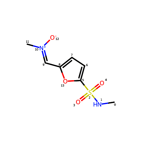 CNS(=O)(=O)c1ccc(C=[N+](C)[O-])o1